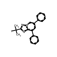 CC(C)(I)c1nc2c(-c3ccccc3)cc(-c3ccccc3)cn2n1